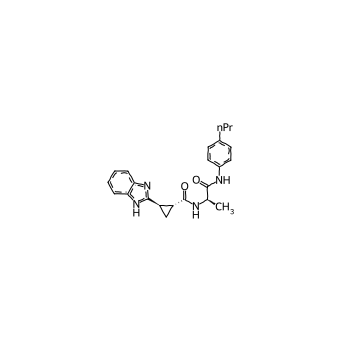 CCCc1ccc(NC(=O)[C@@H](C)NC(=O)[C@@H]2C[C@H]2c2nc3ccccc3[nH]2)cc1